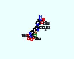 CCOC(=O)c1nc(Sc2ccnc(N(C(=O)OC(C)(C)C)C(=O)OC(C)(C)C)c2Cl)c(C)cc1N1CCC(C)(NC(=O)OC(C)(C)C)CC1